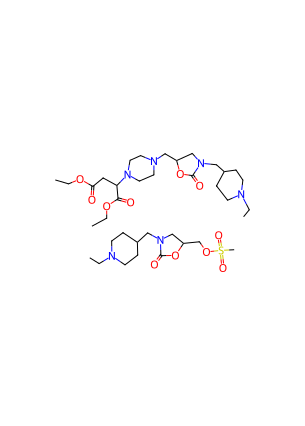 CCN1CCC(CN2CC(COS(C)(=O)=O)OC2=O)CC1.CCOC(=O)CC(C(=O)OCC)N1CCN(CC2CN(CC3CCN(CC)CC3)C(=O)O2)CC1